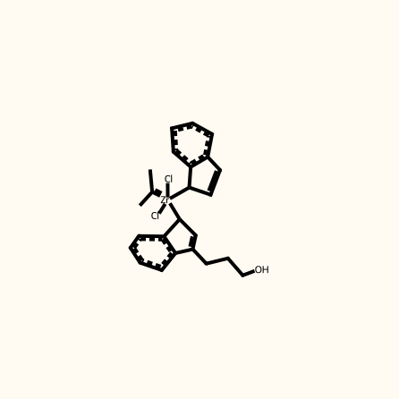 C[C](C)=[Zr]([Cl])([Cl])([CH]1C=Cc2ccccc21)[CH]1C=C(CCCO)c2ccccc21